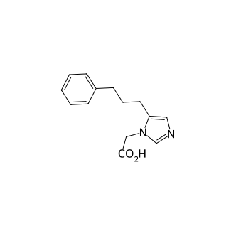 O=C(O)Cn1cncc1CCCc1ccccc1